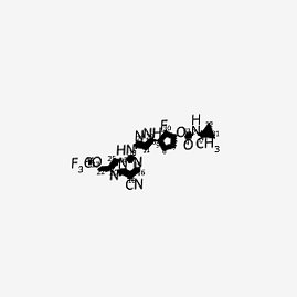 CC1(NC(=O)O[C@H]2CC[C@@H](c3cc(Nc4ncc(C#N)c5nc(COC(F)(F)F)cn45)n[nH]3)[C@H]2F)CC1